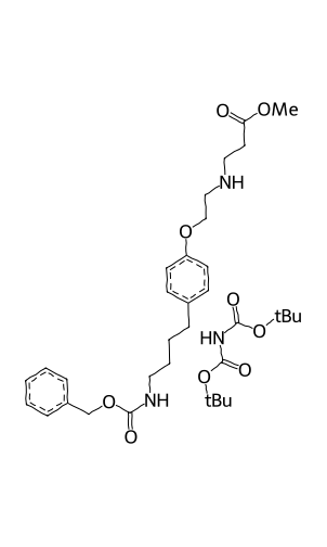 CC(C)(C)OC(=O)NC(=O)OC(C)(C)C.COC(=O)CCNCCOc1ccc(CCCCNC(=O)OCc2ccccc2)cc1